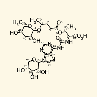 CC(CCC(=O)O[C@H](C)[C@H](NC(=O)Nc1ncnc2c1ncn2[C@@H]1OC[C@@H](O)[C@H](O)[C@H]1O)C(=O)O)O[C@@H]1O[C@@H](C)[C@H](O)C[C@@H]1O